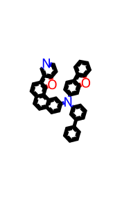 c1ccc(-c2cccc(N(c3ccc4c(c3)oc3ccccc34)c3ccc4ccc5ccc6c7cnccc7oc6c5c4c3)c2)cc1